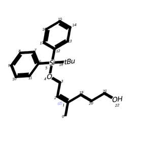 C/C(=C/CO[Si](c1ccccc1)(c1ccccc1)C(C)(C)C)CCCO